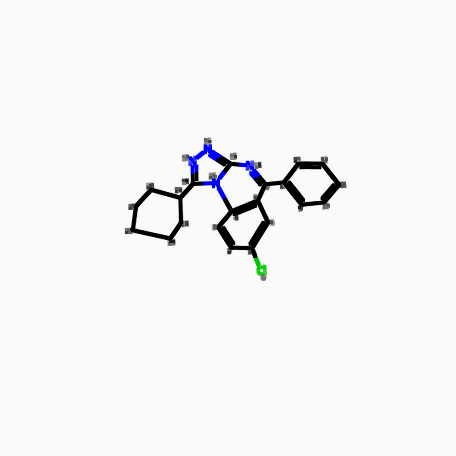 Clc1ccc2c(c1)c(-c1ccccc1)nc1nnc(C3CCCCC3)n12